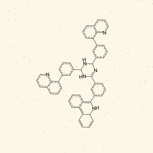 C1=CC2=c3ccccc3=C(c3cccc(C4=NC(c5cccc(-c6cccc7cccnc67)c5)NC(c5cccc(-c6cccc7cccnc67)c5)N4)c3)NC2C=C1